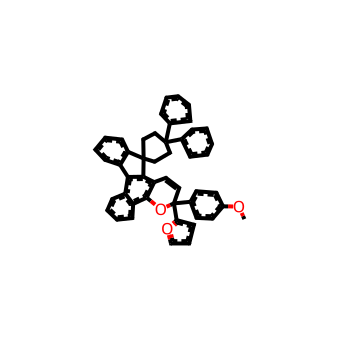 COc1ccc(C2(c3ccco3)C=Cc3c4c(c5ccccc5c3O2)-c2ccccc2C42CCC(c3ccccc3)(c3ccccc3)CC2)cc1